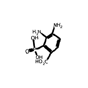 Nc1ccc(C(=O)O)c(P(=O)(O)O)c1N